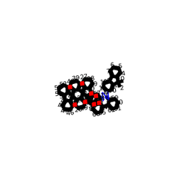 CC1(C)c2ccccc2-c2ccc(N(c3ccc(-c4cccc5c4C4(c6ccccc6-c6ccccc64)c4ccccc4C54c5ccccc5-c5ccccc54)cc3)c3ccccc3-c3ccccc3)cc21